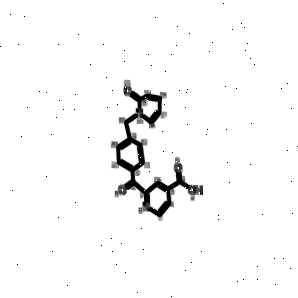 O=C(O)c1ccnc(C(=O)c2ccc(Cn3ccccc3=O)cc2)c1